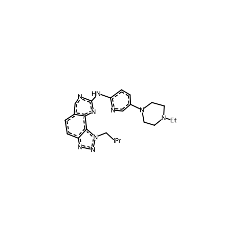 CCN1CCN(c2ccc(Nc3ncc4ccc5nnn(CC(C)C)c5c4n3)nc2)CC1